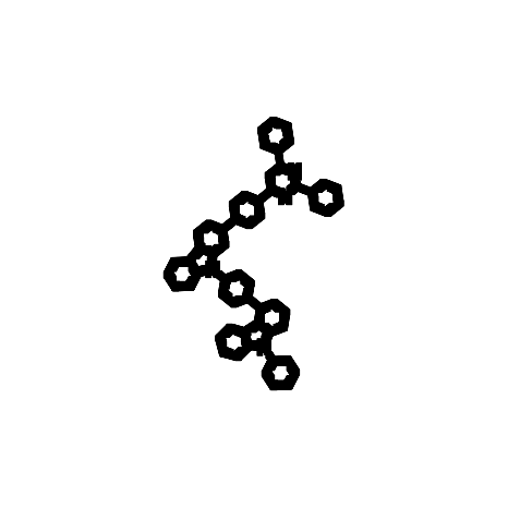 c1ccc(-c2cc(-c3ccc(-c4ccc5c6ccccc6n(-c6ccc(-c7cccc8c7c7ccccc7n8-c7ccccc7)cc6)c5c4)cc3)nc(-c3ccccc3)n2)cc1